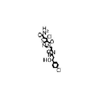 NC(=O)c1sc2ncn(Cc3nc(C[C@H](O)c4ccc(Cl)cc4)no3)c(=O)c2c1Cl